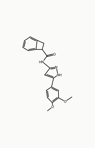 COc1ccc(-c2cc(NC(=O)C3Cc4ccccc43)n[nH]2)cc1OC